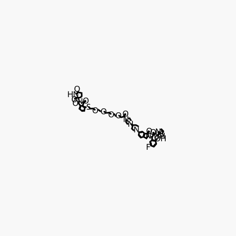 O=C1CCC(N2C(=O)c3cccc(SCCOCCOCCOCCOCC(=O)N4CCN(C5CCN(c6ccc7c(c6)C(=O)N(C(C(=O)Nc6nccs6)c6cc(F)ccc6O)C7)CC5)CC4)c3C2=O)C(=O)N1